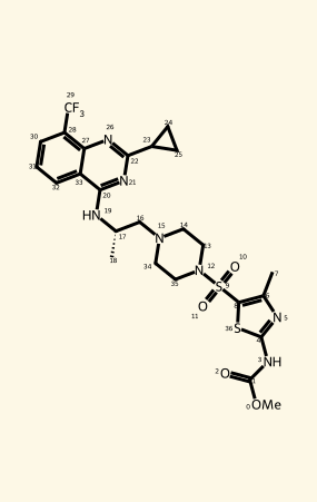 COC(=O)Nc1nc(C)c(S(=O)(=O)N2CCN(C[C@H](C)Nc3nc(C4CC4)nc4c(C(F)(F)F)cccc34)CC2)s1